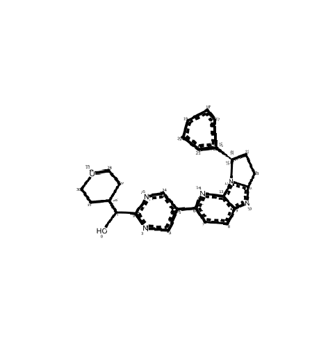 OC(c1ncc(-c2ccc3nc4n(c3n2)[C@@H](c2ccccc2)CC4)cn1)C1CCOCC1